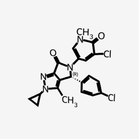 Cc1c2c(nn1C1CC1)C(=O)N(c1cc(Cl)c(=O)n(C)c1)[C@@H]2c1ccc(Cl)cc1